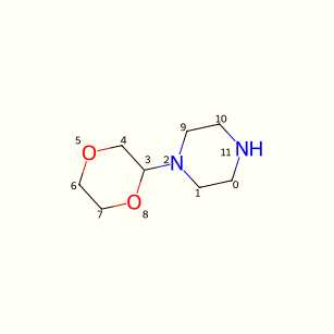 C1CN(C2COCCO2)CCN1